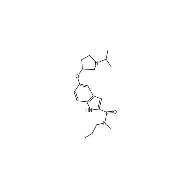 CCCN(C)C(=O)c1cc2cc(OC3CCN(C(C)C)C3)ccc2[nH]1